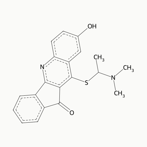 CC(Sc1c2c(nc3ccc(O)cc13)-c1ccccc1C2=O)N(C)C